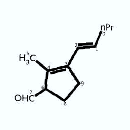 CCCC=CC1=C(C)C(C=O)CC1